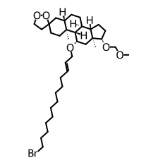 COCO[C@H]1CC[C@H]2[C@@H]3CC[C@H]4CC5(CCOO5)CC[C@]4(C)[C@H]3[C@@H](OC/C=C/CCCCCCCCCCBr)C[C@]12C